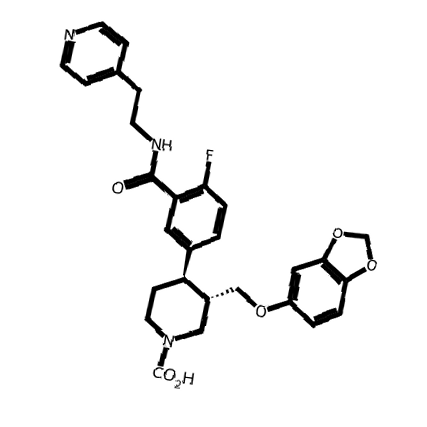 O=C(NCCc1ccncc1)c1cc([C@@H]2CCN(C(=O)O)C[C@H]2COc2ccc3c(c2)OCO3)ccc1F